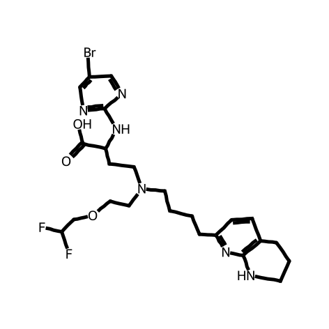 O=C(O)C(CCN(CCCCc1ccc2c(n1)NCCC2)CCOCC(F)F)Nc1ncc(Br)cn1